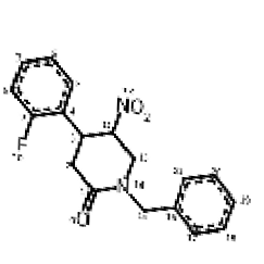 O=C1CC(c2ccccc2F)C([N+](=O)[O-])CN1Cc1ccccc1